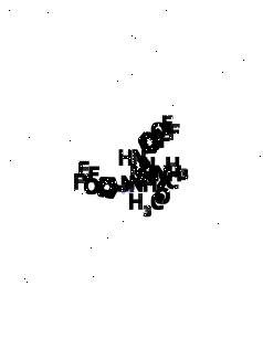 COCC(C)Nc1nc(N/N=C/c2ccc(OC(F)(F)F)cc2)nc(Nc2ccc(OC(F)(F)F)cc2)n1